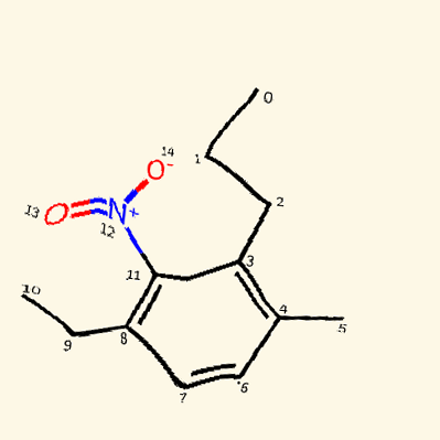 CCCc1c(C)[c]cc(CC)c1[N+](=O)[O-]